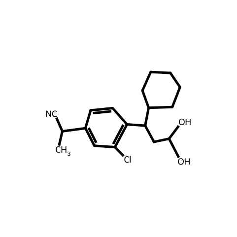 CC(C#N)c1ccc(C(CC(O)O)C2CCCCC2)c(Cl)c1